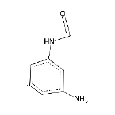 Nc1c[c]cc(NC=O)c1